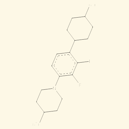 CCCC1CCC(c2ccc(N3CCC(CCC)CC3)c(F)c2F)CC1